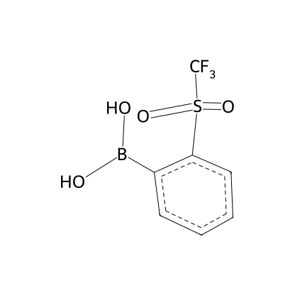 O=S(=O)(c1ccccc1B(O)O)C(F)(F)F